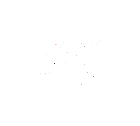 COC(=O)c1nn(C[C@@H](C)OC)c(C(=O)OC)c1[N+](=O)[O-]